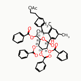 CC(=O)OCCc1ccc(Cc2c(C)cc(C)cc2[C@@]2(O)O[C@H]([C@H](C)OC(=O)c3ccccc3)[C@@H](OC(=O)c3ccccc3)[C@H](OC(=O)c3ccccc3)[C@H]2OC(=O)c2ccccc2)cc1